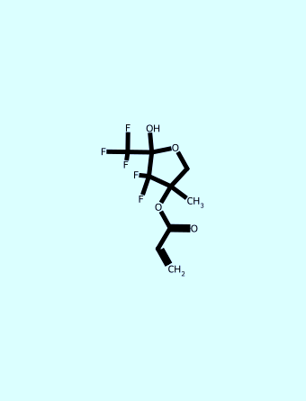 C=CC(=O)OC1(C)COC(O)(C(F)(F)F)C1(F)F